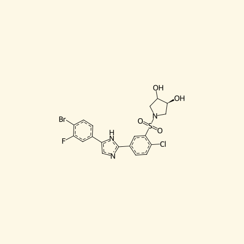 O=S(=O)(c1cc(-c2ncc(-c3ccc(Br)c(F)c3)[nH]2)ccc1Cl)N1CC(O)[C@@H](O)C1